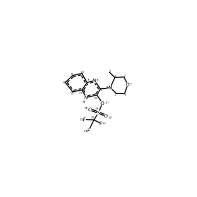 CC1COCCN1c1nc2ccccc2nc1OS(=O)(=O)C(F)(F)F